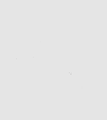 Cc1cc2c(c(-c3nc(C)cc4ccc(CC(C)C)cc34)c1)Cc1ccccc1-2